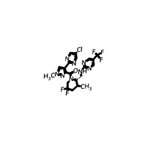 CC1CC(F)(F)CN(C(=O)c2nn(C)cc2-c2ncc(Cl)cn2)[C@@H]1CNc1ncc(C(F)(F)F)cn1